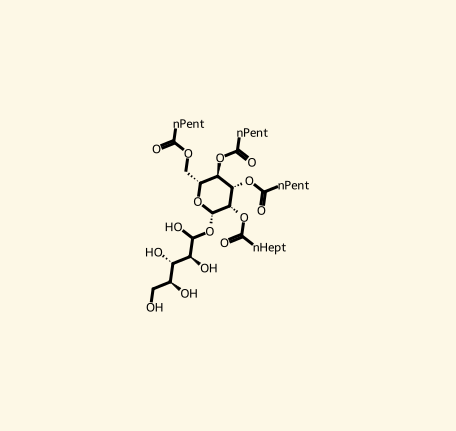 CCCCCCCC(=O)O[C@@H]1[C@H](OC(O)[C@@H](O)[C@@H](O)[C@@H](O)CO)O[C@H](COC(=O)CCCCC)[C@@H](OC(=O)CCCCC)[C@@H]1OC(=O)CCCCC